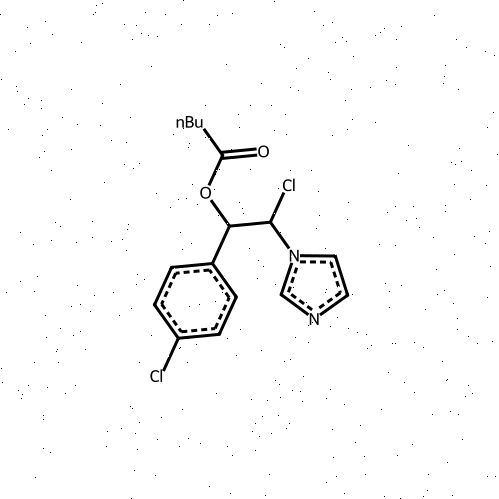 CCCCC(=O)OC(c1ccc(Cl)cc1)C(Cl)n1ccnc1